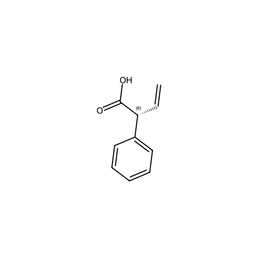 C=C[C@@H](C(=O)O)c1ccccc1